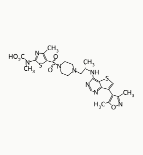 Cc1nc(N(C)C(=O)O)sc1S(=O)(=O)N1CCN(C[C@H](C)Nc2ncnc3c(-c4c(C)noc4C)csc23)CC1